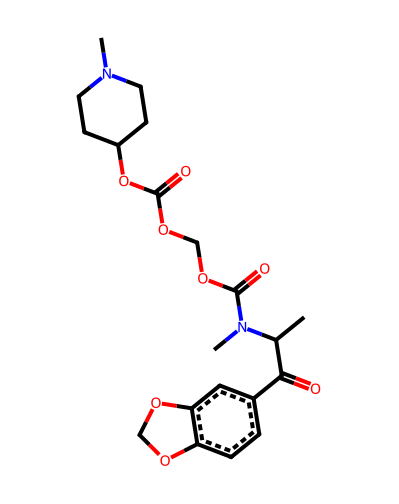 CC(C(=O)c1ccc2c(c1)OCO2)N(C)C(=O)OCOC(=O)OC1CCN(C)CC1